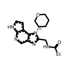 CCC(=O)NCc1nc2cnc3[nH]ccc3c2n1[C@H]1CCCOC1